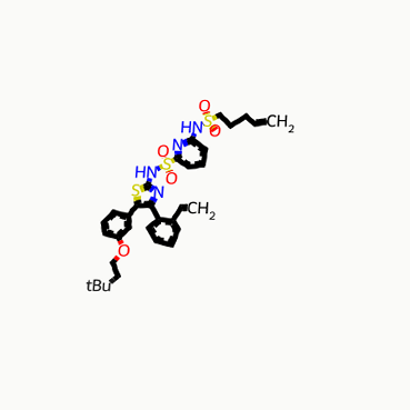 C=CCCCS(=O)(=O)Nc1cccc(S(=O)(=O)Nc2nc(-c3ccccc3C=C)c(-c3cccc(OCCC(C)(C)C)c3)s2)n1